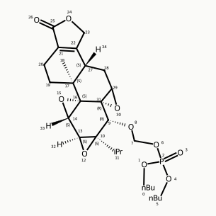 CCCCOP(=O)(OCCCC)OCO[C@@H]1[C@@]2(C(C)C)O[C@H]2[C@@H]2O[C@@]23[C@@]2(C)CCC4=C(COC4=O)[C@@H]2CC2O[C@]213